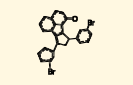 O=c1ccc2cccc3c2-c1c1c3=C(c2cccc(Br)c2)CC1c1cccc(Br)c1